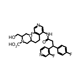 O=C(CC(c1ccc(F)cc1)c1ccncc1F)Nc1cncc(F)c1CCC1CN(C(=O)O)C(CO)CO1